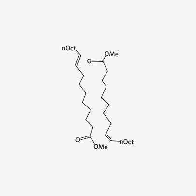 CCCCCCCC/C=C/CCCCCCCC(=O)OC.CCCCCCCC/C=C\CCCCCCCC(=O)OC